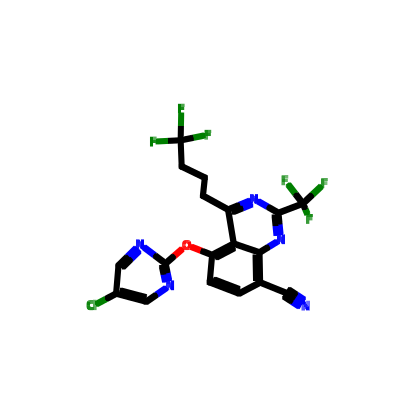 N#Cc1ccc(Oc2ncc(Cl)cn2)c2c(CCCC(F)(F)F)nc(C(F)(F)F)nc12